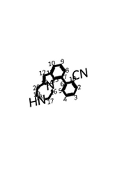 N#Cc1ccccc1-c1cccc2cc3n(c12)CCNCC3